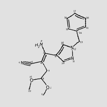 COC(C/C(C#N)=C(/N)c1cnn(Cc2ccccc2)c1)OC